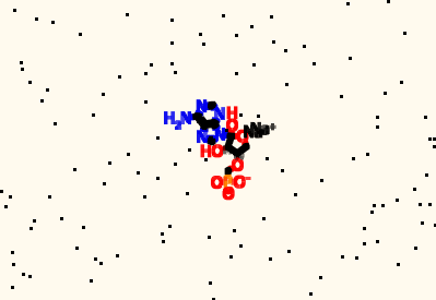 Nc1ncnc2c1ncn2C1(O)OC[C@H](OCP(=O)([O-])[O-])[C@H]1O.[Na+].[Na+]